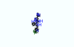 Cn1cc(-c2cnc3c(c2)NC[C@H]([C@H](NCCc2ccc(C(F)(F)F)nc2)c2ccccc2)N3)cn1